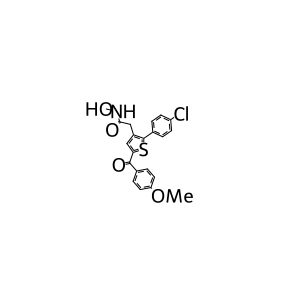 COc1ccc(C(=O)c2cc(CC(=O)NO)c(-c3ccc(Cl)cc3)s2)cc1